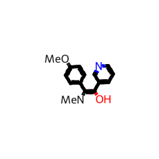 CN/C(=C(\O)c1cccnc1)c1ccc(OC)cc1